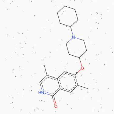 Cc1cc2c(=O)[nH]cc(C)c2cc1OC1CCN(C2CCCCC2)CC1